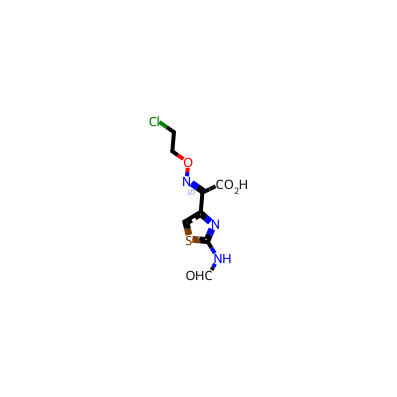 O=CNc1nc(/C(=N/OCCCl)C(=O)O)cs1